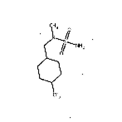 CN(CC1CCC(C(F)(F)F)CC1)S(N)(=O)=O